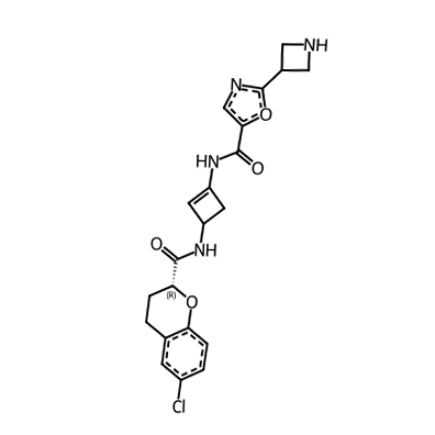 O=C(NC1=CC(NC(=O)[C@H]2CCc3cc(Cl)ccc3O2)C1)c1cnc(C2CNC2)o1